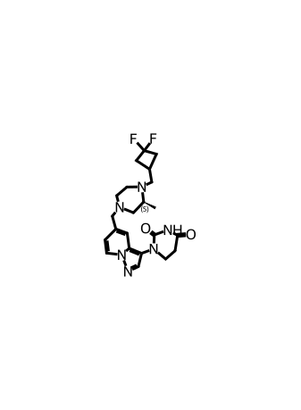 C[C@H]1CN(Cc2ccn3ncc(N4CCC(=O)NC4=O)c3c2)CCN1CC1CC(F)(F)C1